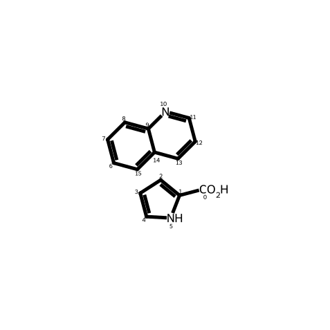 O=C(O)c1ccc[nH]1.c1ccc2ncccc2c1